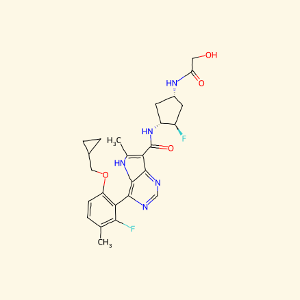 Cc1ccc(OCC2CC2)c(-c2ncnc3c(C(=O)N[C@@H]4C[C@H](NC(=O)CO)C[C@H]4F)c(C)[nH]c23)c1F